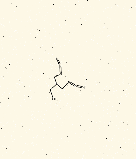 CCC(CN=[N+]=[N-])CN=[N+]=[N-]